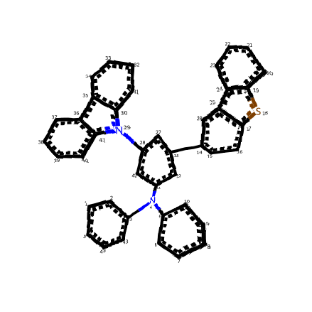 c1ccc(N(c2ccccc2)c2cc(-c3ccc4sc5ccccc5c4c3)cc(-n3c4ccccc4c4ccccc43)c2)cc1